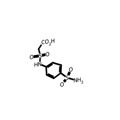 NS(=O)(=O)c1ccc(NS(=O)(=O)CC(=O)O)cc1